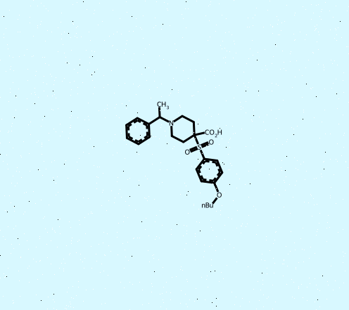 CCCCOc1ccc(S(=O)(=O)C2(C(=O)O)CCN(C(C)c3ccccc3)CC2)cc1